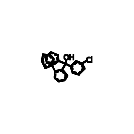 OC(c1ccccc1)(c1cccc(Cl)c1)c1ccccc1-c1ccccc1